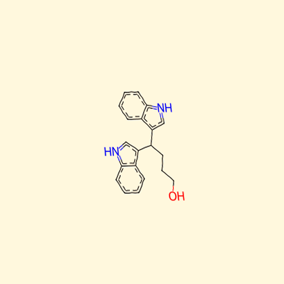 OCCCC(c1c[nH]c2ccccc12)c1c[nH]c2ccccc12